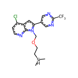 C[SiH](C)CCOCn1c(-c2cnc(C(F)(F)F)nc2)cc2c(Cl)ccnc21